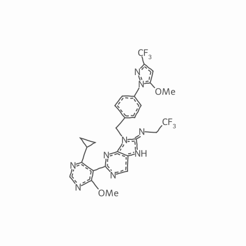 COc1ncnc(C2CC2)c1-c1ncc2[nH]c(=NCC(F)(F)F)n(Cc3ccc(-n4nc(C(F)(F)F)cc4OC)cc3)c2n1